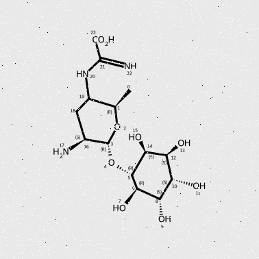 C[C@H]1O[C@H](O[C@H]2[C@H](O)[C@@H](O)[C@@H](O)[C@H](O)[C@@H]2O)[C@@H](N)CC1NC(=N)C(=O)O